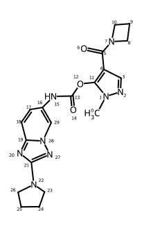 Cn1ncc(C(=O)N2CCC2)c1OC(=O)Nc1ccc2nc(N3CCCC3)nn2c1